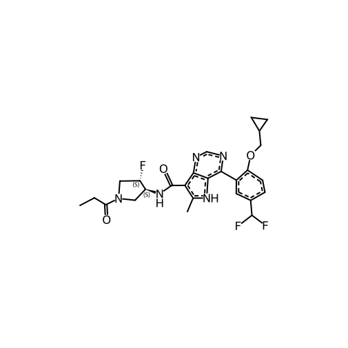 CCC(=O)N1C[C@H](NC(=O)c2c(C)[nH]c3c(-c4cc(C(F)F)ccc4OCC4CC4)ncnc23)[C@@H](F)C1